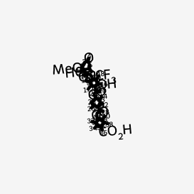 COC1=CC(=O)C=C(C)C1(O)C(=O)Oc1c(C)c(C)c(C(=O)Oc2cc(C)c(C(=O)Oc3c(C)c(C)c(C(=O)O)c(C)c3C)c(C)c2C)c(O)c1C(F)(F)F